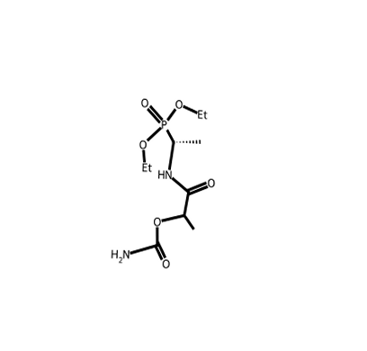 CCOP(=O)(OCC)[C@H](C)NC(=O)C(C)OC(N)=O